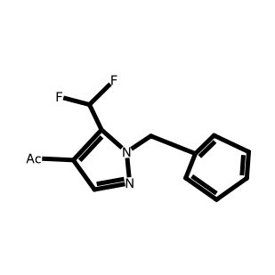 CC(=O)c1cnn(Cc2ccccc2)c1C(F)F